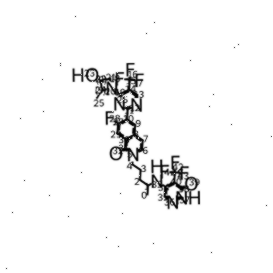 CC(CCCn1ccc2cc(-c3ncc(C(F)(F)F)c(N4C[C@@H](O)[C@@H]4C)n3)c(F)cc2c1=O)Nc1cn[nH]c(=O)c1C(F)(F)F